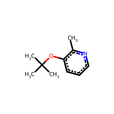 Cc1ncccc1OC(C)(C)C